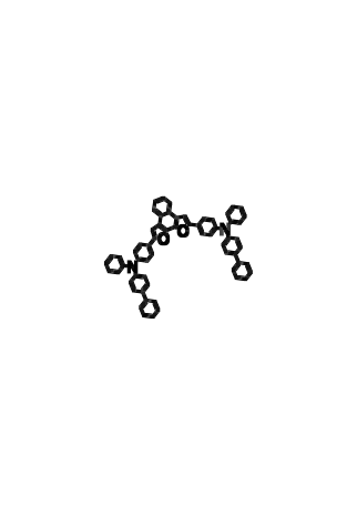 c1ccc(-c2ccc(N(c3ccccc3)c3ccc(-c4cc5c6ccccc6c6cc(-c7ccc(N(c8ccccc8)c8ccc(-c9ccccc9)cc8)cc7)oc6c5o4)cc3)cc2)cc1